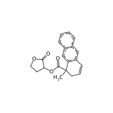 CC1(C(=O)OC2CCOC2=O)CC=Cc2cc3ccccc3cc21